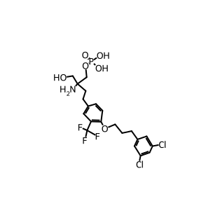 NC(CO)(CCc1ccc(OCCCc2cc(Cl)cc(Cl)c2)c(C(F)(F)F)c1)COP(=O)(O)O